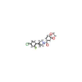 O=C(c1ccc2c(c1)OCCO2)N1CC2=C(c3ccc(Cl)cc3F)CC1C2